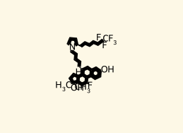 C[C@]1(O)CCC2[C@H]3C(c4ccc(O)cc4C[C@H]3CCCCCN3CCC[C@H]3CCCCCC(F)(F)C(F)(F)F)[C@@H](F)C[C@@]21C